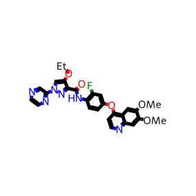 CCOc1cn(-c2cnccn2)nc1C(=O)Nc1ccc(Oc2ccnc3cc(OC)c(OC)cc23)cc1F